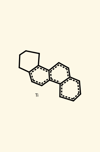 [Ti].c1ccc2c(c1)ccc1c3c(ccc12)CCCC3